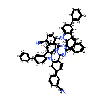 N#Cc1cccc(-c2ccc(-c3nc(-c4ccccc4)nc(-c4cc(C#N)ccc4-n4c5ccccc5c5cc(-c6ccccc6)ccc54)n3)c(-n3c4ccccc4c4cc(-c5ccccc5)ccc43)c2)c1